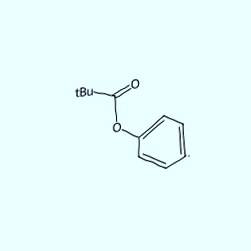 CC(C)(C)C(=O)Oc1cc[c]cc1